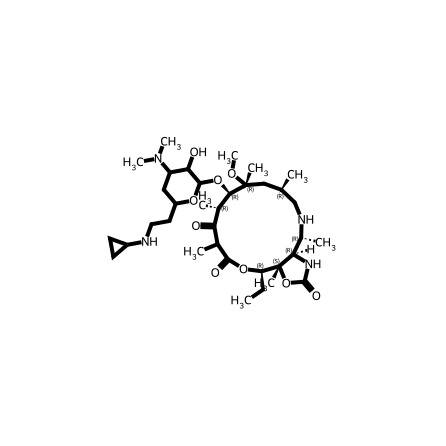 CC[C@H]1OC(=O)C(C)C(=O)[C@H](C)[C@@H](OC2OC(CCNC3CC3)CC(N(C)C)C2O)[C@](C)(OC)C[C@@H](C)CN[C@H](C)[C@H]2NC(=O)O[C@@]21C